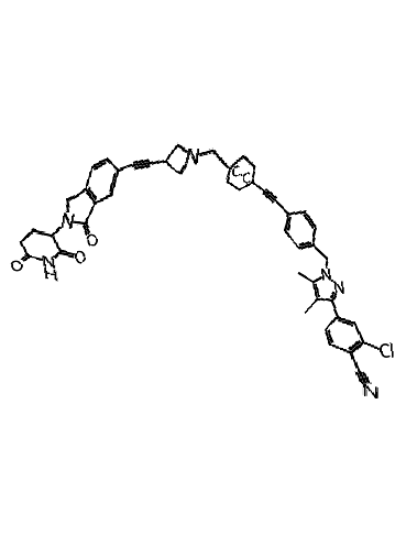 Cc1c(-c2ccc(C#N)c(Cl)c2)nn(Cc2ccc(C#CC34CCC(CN5CC(C#Cc6ccc7c(c6)C(=O)N(C6CCC(=O)NC6=O)C7)C5)(CC3)CC4)cc2)c1C